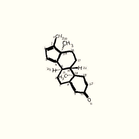 CC1=CC=C2[C@@H]3CCC4=CC(=O)CC[C@]4(C)[C@H]3CC[C@]12C